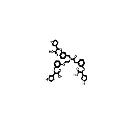 O=C(O)C(Oc1cccc(CC(=O)N(CCOc2cccc(OC(C(=O)O)C3CCNC3)c2)Cc2cccc(OC(C(=O)O)C3CCNC3)c2)c1)C1CCNC1